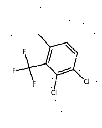 Cc1ccc(Cl)c(Cl)c1C(F)(F)F